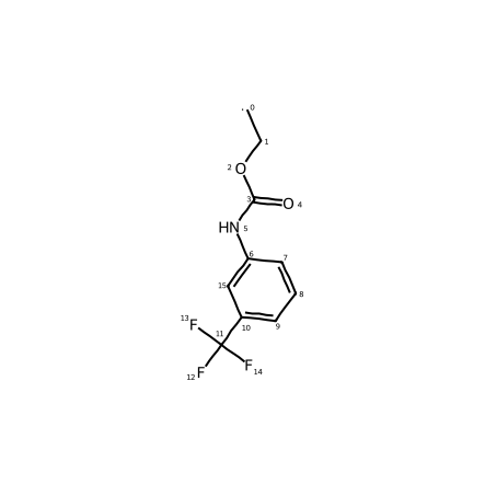 [CH2]COC(=O)Nc1cccc(C(F)(F)F)c1